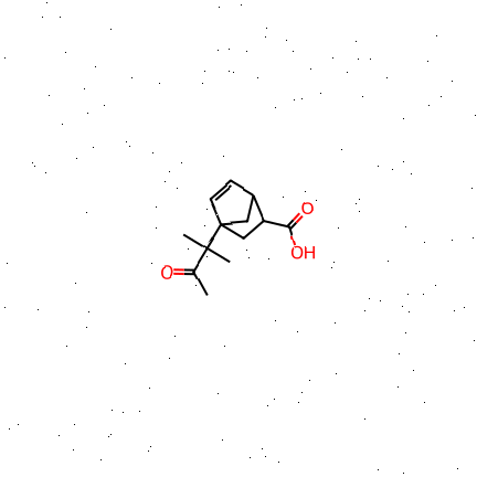 CC(=O)C(C)(C)C12C=CC(C1)C(C(=O)O)C2